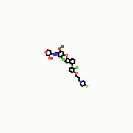 CCOc1cc(O[C@H]2CCc3c(-c4cccc(OCCCN5CCC(F)CC5)c4Cl)cccc32)c(Cl)cc1CN[C@@H]1CCOC[C@H]1O